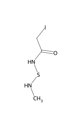 CNSNC(=O)CI